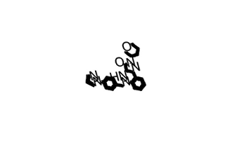 O=C1C2NN(Cc3ccc(-n4cccn4)cc3)c3ccccc3C2=NN1C1CCCOC1